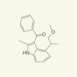 COCC(C)c1cccc2[nH]c(C)c(C(=O)c3ccccc3)c12